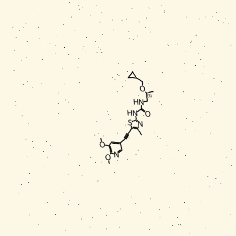 COc1cc(C#Cc2sc(NC(=O)NC[C@H](C)OCC3CC3)nc2C)cnc1OC